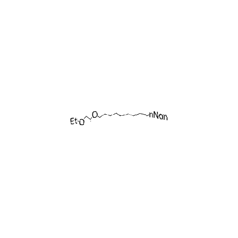 CCCCCCCCCCCCCCCCCCO[CH]COCC